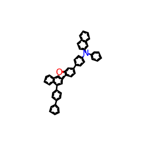 c1ccc(-c2ccc(-c3cc4c5ccc(-c6ccc(N(c7ccccc7)c7ccc8ccccc8c7)cc6)cc5oc4c4ccccc34)cc2)cc1